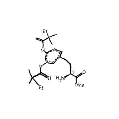 C=C(Oc1ccc(C[C@H](N)C(=O)OC)cc1OC(=O)C(C)(C)CC)C(C)(C)CC